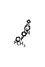 CC1(F)CCCN(Cc2ccc3c(c2)nc2n3CCN(C3CCC3)CC2)C1